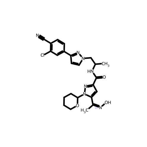 C/C(=N/O)c1cc(C(=O)NC(C)Cn2ccc(-c3ccc(C#N)c(Cl)c3)n2)nn1C1CCCCO1